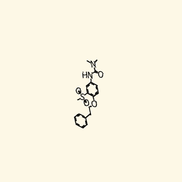 CN(C)C(=O)Nc1ccc(OCCc2ccccc2)c(S(C)(=O)=O)c1